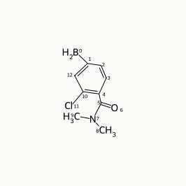 Bc1ccc(C(=O)N(C)C)c(Cl)c1